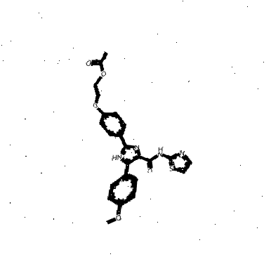 COc1ccc(-c2[nH]c(-c3ccc(OCCOC(C)=O)cc3)nc2C(=O)Nc2nccs2)cc1